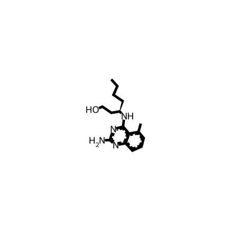 CCCC[C@H](CCO)Nc1nc(N)nc2cccc(C)c12